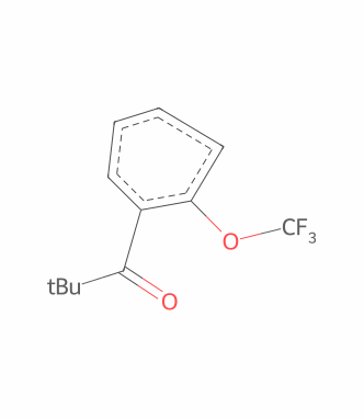 CC(C)(C)C(=O)c1ccccc1OC(F)(F)F